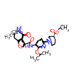 CCOC(=O)[C@H]1CCCN(c2ccc(NC(=O)c3coc4c3C(=O)NC(C)(C)C4)c(OC(C)C)n2)C1